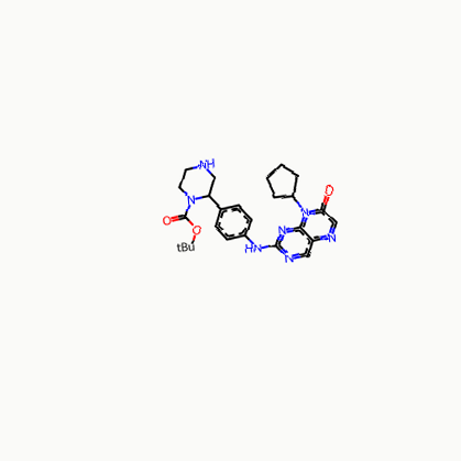 CC(C)(C)OC(=O)N1CCNCC1c1ccc(Nc2ncc3ncc(=O)n(C4CCCC4)c3n2)cc1